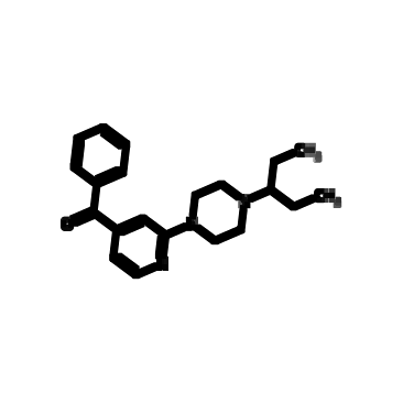 CCC(CC)N1CCN(c2cc(C(=O)c3ccccc3)ccn2)CC1